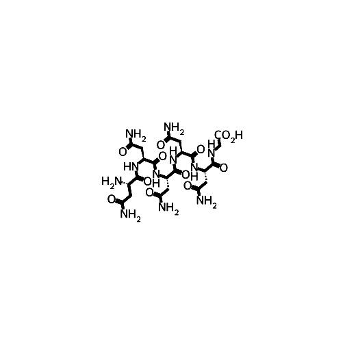 NC(=O)C[C@H](NC(=O)[C@H](CC(N)=O)NC(=O)[C@H](CC(N)=O)NC(=O)[C@H](CC(N)=O)NC(=O)[C@@H](N)CC(N)=O)C(=O)NCC(=O)O